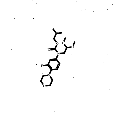 COC(CN(C(=O)OCC(C)C)c1ccc(N2CCOCC2)c(F)c1)OC